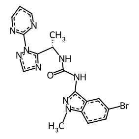 C[C@H](NC(=O)Nc1nn(C)c2ccc(Br)cc12)c1ncnn1-c1ncccn1